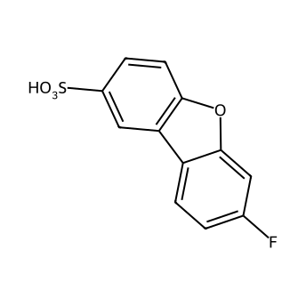 O=S(=O)(O)c1ccc2oc3cc(F)ccc3c2c1